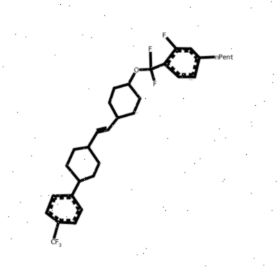 CCCCCc1ccc(C(F)(F)OC2CCC(/C=C/C3CCC(c4ccc(C(F)(F)F)cc4)CC3)CC2)c(F)c1